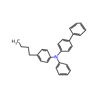 CCCCc1ccc(N(c2ccccc2)c2ccc(-c3ccccc3)cc2)cc1